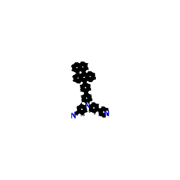 N#Cc1ccc(N(c2ccc(-c3ccncc3)cc2)c2ccc(-c3ccc(-c4c5ccccc5c(-c5cccc6ccccc56)c5ccccc45)cc3)cc2)cc1